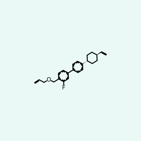 C=CCOCc1ccc(-c2ccc([C@H]3CC[C@H](C=C)CC3)cc2)cc1F